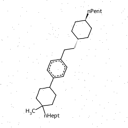 CCCCCCCC1(C)CCC(c2ccc(CC[C@H]3CC[C@H](CCCCC)CC3)cc2)CC1